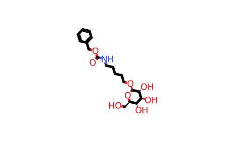 O=C(NCCCCCO[C@@H]1O[C@H](CO)[C@@H](O)[C@H](O)[C@H]1O)OCc1ccccc1